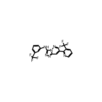 FC(F)(F)c1cccc(Nc2nnc3cc(-c4ncccc4C(F)(F)F)cnn23)c1